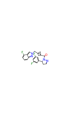 O=C(N1N=CCC1c1cc(F)cc(F)c1)C12CC(Cn3cc4c(F)cccc4n3)(C1)C2